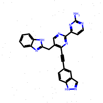 Nc1nccc(-c2ncc(Cc3nc4ccccc4[nH]3)c(C#Cc3ccc4[nH]ncc4c3)n2)n1